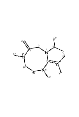 C=C1CN(C(C)C)C(=C(C)C)N(C)CCN1C